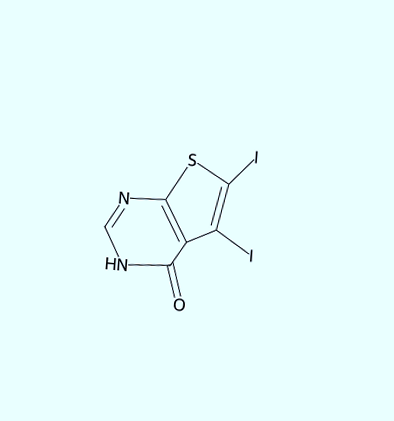 O=c1[nH]cnc2sc(I)c(I)c12